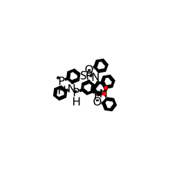 CPc1ccccc1N(Pc1cc(P2Oc3ccccc3N2c2ccccc2)cc(P2(=S)Oc3ccccc3N2c2ccccc2)c1)c1ccccc1